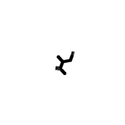 CNC(C)CF